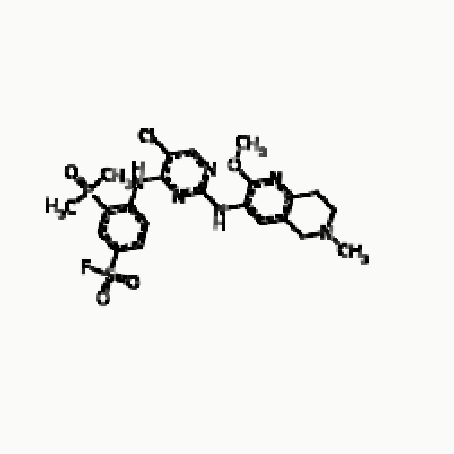 COc1nc2c(cc1Nc1ncc(Cl)c(Nc3ccc(S(=O)(=O)F)cc3P(C)(C)=O)n1)CN(C)CC2